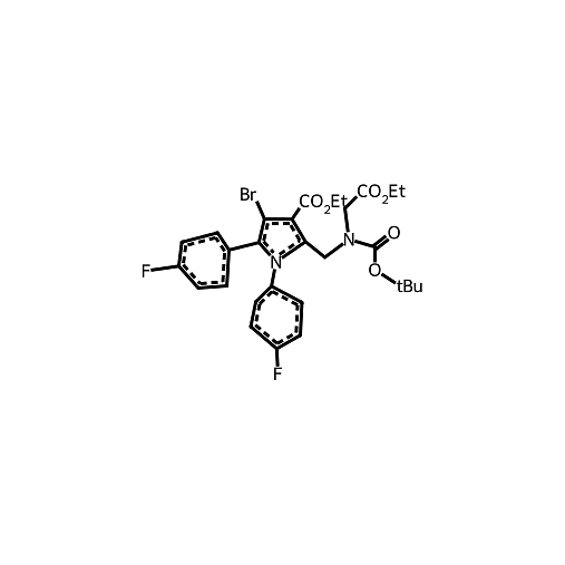 CCOC(=O)CN(Cc1c(C(=O)OCC)c(Br)c(-c2ccc(F)cc2)n1-c1ccc(F)cc1)C(=O)OC(C)(C)C